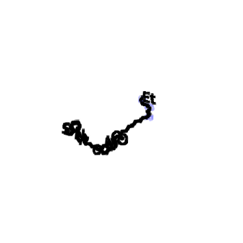 CC/C=C\C/C=C\C/C=C\CCCCCCCC(=O)Oc1ccc2ccc(OCCCCN3CCN(c4cccc5c4CCS5)CC3)cc2n1